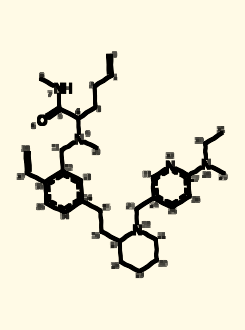 C=CCCC(C(=O)NC)N(C)Cc1cc(CCC2CCCCN2Cc2ccc(N(C)CC)nc2)ccc1C=C